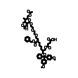 COc1ccc(C(OCC(CCCCN(CCOCCOCCOC2OC(COC(C)=O)C(C)C(C)C2NC(C)=O)C(=O)OCc2ccccc2)COC(=O)CCC(=O)O)(c2ccccc2)c2ccc(OC)cc2)cc1